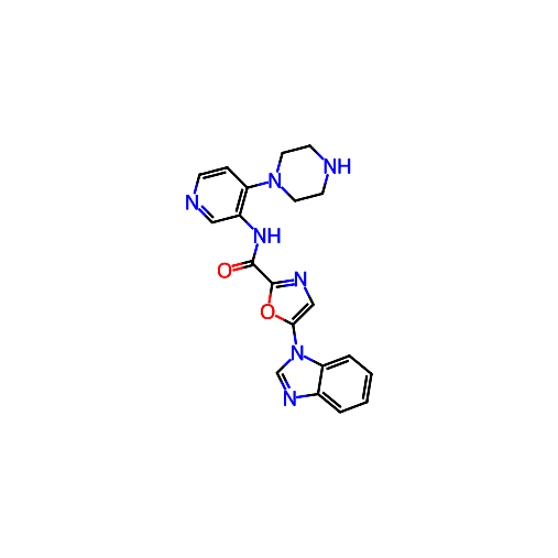 O=C(Nc1cnccc1N1CCNCC1)c1ncc(-n2cnc3ccccc32)o1